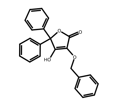 O=C1OC(c2ccccc2)(c2ccccc2)C(O)=C1OCc1ccccc1